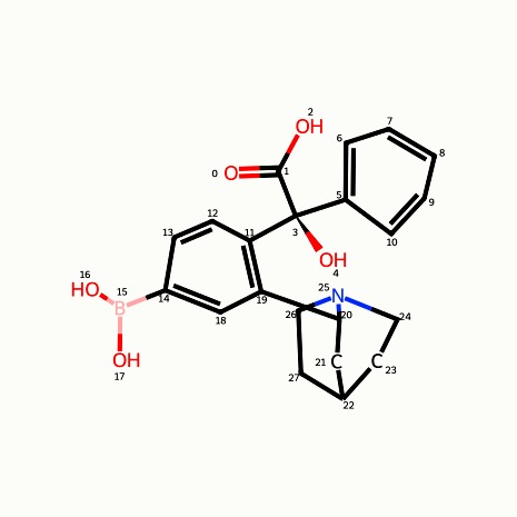 O=C(O)[C@](O)(c1ccccc1)c1ccc(B(O)O)cc1C1CC2CCN1CC2